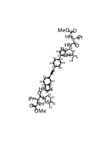 COC(=O)N[C@H](C(=O)N[C@@H](CS(C)(C)I)c1ncc(-c2ccc(C#Cc3ccc4[nH]c([C@@H]5C[Si](C)(C)CN5C(=O)[C@@H](NC(=O)OC)C(C)C)nc4c3)cc2)[nH]1)C(C)C